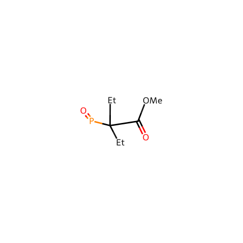 CCC(CC)(P=O)C(=O)OC